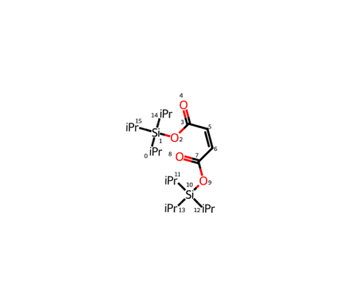 CC(C)[Si](OC(=O)/C=C\C(=O)O[Si](C(C)C)(C(C)C)C(C)C)(C(C)C)C(C)C